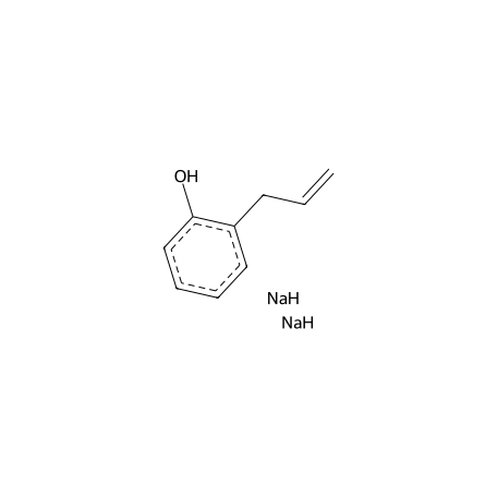 C=CCc1ccccc1O.[NaH].[NaH]